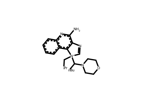 CCCCC(N1CCOCC1)[N+]1(CC(C)C)C=Nc2c(N)nc3ccccc3c21